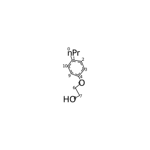 CCCc1ccc(OCCO)cc1